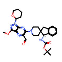 COc1nn(C2CCCCO2)c2nc(N3CCC4(CC3)Cc3ccccc3[C@H]4NC(=O)OC(C)(C)C)c(C=O)nc12